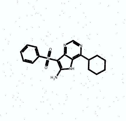 Nc1[nH]c2c(C3CCCCC3)ncnc2c1S(=O)(=O)c1ccccc1